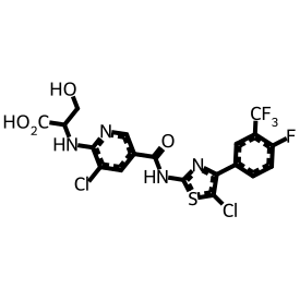 O=C(Nc1nc(-c2ccc(F)c(C(F)(F)F)c2)c(Cl)s1)c1cnc(NC(CO)C(=O)O)c(Cl)c1